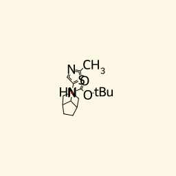 Cc1ncc(N2CC3CCC(C2)C3NC(=O)OC(C)(C)C)s1